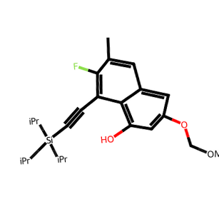 COCOc1cc(O)c2c(C#C[Si](C(C)C)(C(C)C)C(C)C)c(F)c(C)cc2c1